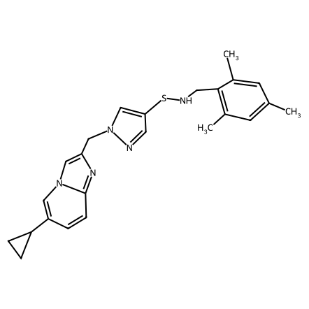 Cc1cc(C)c(CNSc2cnn(Cc3cn4cc(C5CC5)ccc4n3)c2)c(C)c1